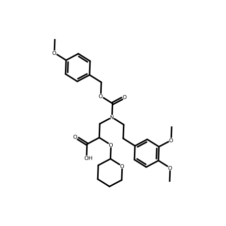 COc1ccc(COC(=O)N(CCc2ccc(OC)c(OC)c2)CC(OC2CCCCO2)C(=O)O)cc1